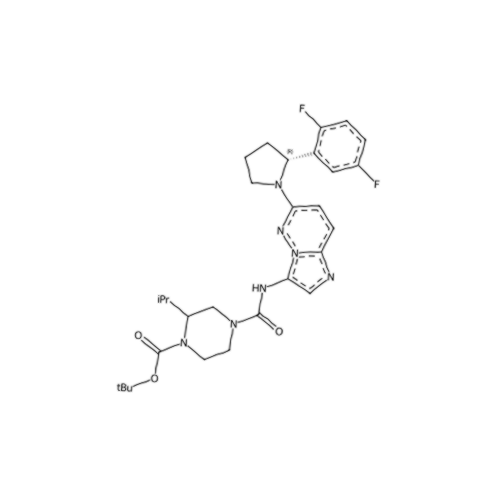 CC(C)C1CN(C(=O)Nc2cnc3ccc(N4CCC[C@@H]4c4cc(F)ccc4F)nn23)CCN1C(=O)OC(C)(C)C